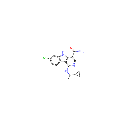 CC(Nc1ncc(C(N)=O)c2[nH]c3cc(Cl)ccc3c12)C1CC1